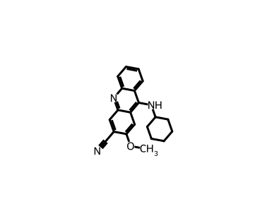 COc1cc2c(NC3CCCCC3)c3ccccc3nc2cc1C#N